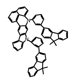 CC1(C)c2ccccc2-c2cc(-c3cccc(N4c5cc6c(cc5-c5cccc7cccc4c57)c4ccccc4n6-c4cccc(-c5ccc6c(c5)-c5ccccc5C6(C)C)c4)c3)ccc21